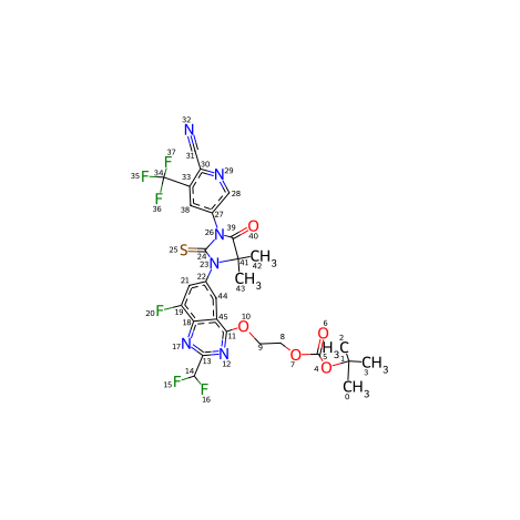 CC(C)(C)OC(=O)OCCOc1nc(C(F)F)nc2c(F)cc(N3C(=S)N(c4cnc(C#N)c(C(F)(F)F)c4)C(=O)C3(C)C)cc12